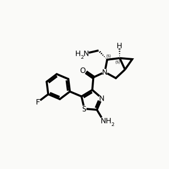 NC[C@@H]1[C@H]2CC2CN1C(=O)c1nc(N)sc1-c1cccc(F)c1